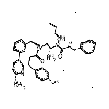 C=CCNN(C(=O)NCc1ccccc1)[C@H](N)CN(Cc1cccc(-c2ccc(N)nc2)c1)C(=O)CCc1ccc(O)cc1